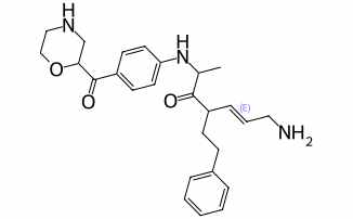 CC(Nc1ccc(C(=O)C2CNCCO2)cc1)C(=O)C(/C=C/CN)CCc1ccccc1